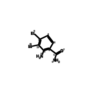 CCc1ccc(C(N)=O)c(N)c1CC